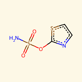 NS(=O)(=O)Oc1nccs1